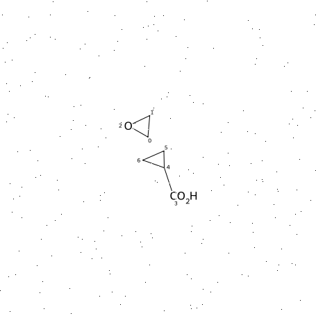 C1CO1.O=C(O)C1CC1